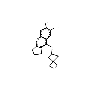 COc1cc2nc3c(c(NC4CC5(CNC5)C4)c2cc1OC)CCC3